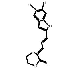 O=C1OCCO/C1=C\C=C\c1cc2cc(Cl)c(Cl)cc2[nH]1